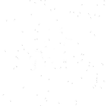 CN(C(=O)OC1c2ccccc2-c2ccccc21)C1(C(=O)F)CC(CC#N)C1